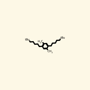 Cc1cc(CCCCCC(C)(C)C)c(C)cc1CCCCCC(C)(C)C